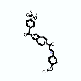 NS(=O)(=O)c1ccc(C(=O)n2cc3c(c2)C=CN(C(=O)/C=C/c2ccc(OC(F)(F)F)cc2)C=C3)cc1